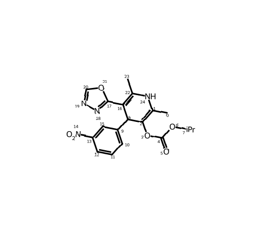 CC1=C(OC(=O)OC(C)C)C(c2cccc([N+](=O)[O-])c2)C(c2nnco2)=C(C)N1